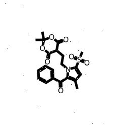 Cc1cc(S(C)(=O)=O)n(CCC2C(=O)OC(C)(C)OC2=O)c1C(=O)c1ccccc1